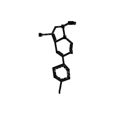 CSN1CC(Br)=C2C=C(c3ccc(I)cc3)N=CN21